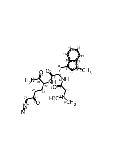 CN(C)CC(=O)N[C@@H](Cc1cn(C)c2ccccc12)C(=O)N[C@@H](CCC(=O)C=[N+]=[N-])C(N)=O